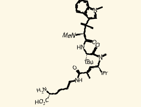 CN[C@H](C(=O)N[C@H](C(=O)N(C)[C@H](/C=C(\C)C(=O)NCCCC[C@@H](N)C(=O)O)C(C)C)C(C)(C)C)C(C)(C)c1cn(C)c2ccccc12